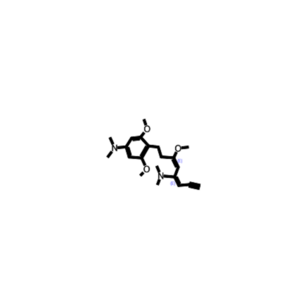 C#C/C=C(\C=C(/CCc1c(OC)cc(N(C)C)cc1OC)OC)N(C)C